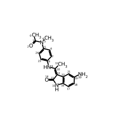 CC(=O)N(C)c1ccc(N/C(C)=C2\C(=O)Nc3ccc(N)cc32)cc1